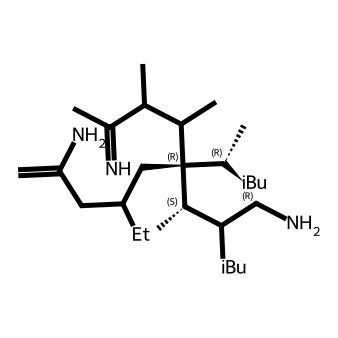 C=C(N)CC(CC)C[C@@](C(C)C(C)C(C)=N)([C@H](C)[C@H](C)CC)[C@@H](C)C(CN)C(C)CC